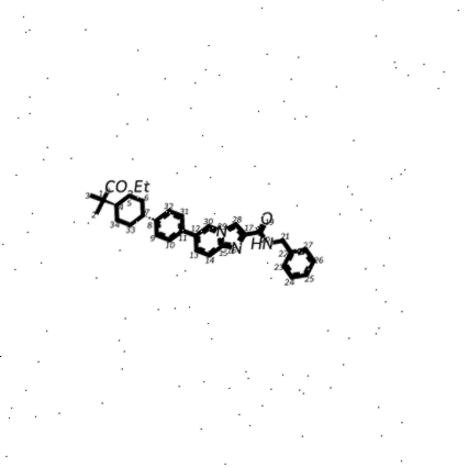 CCOC(=O)C(C)(C)[C@H]1CC[C@H](c2ccc(-c3ccc4nc(C(=O)NCc5ccccc5)cn4c3)cc2)CC1